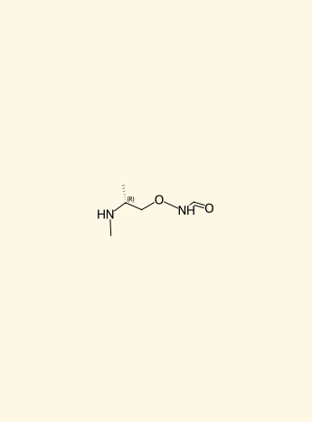 CN[C@H](C)CONC=O